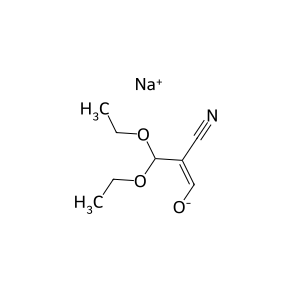 CCOC(OCC)/C(C#N)=C\[O-].[Na+]